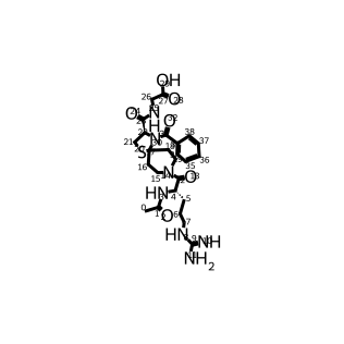 CC(=O)N[C@@H](CCCNC(=N)N)C(=O)N1CCC2(CC1)SC[C@@H](C(=O)NCC(=O)O)N2C(=O)c1ccccc1